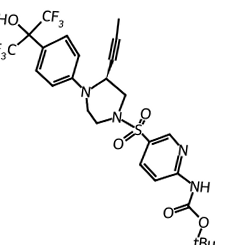 CC#C[C@H]1CN(S(=O)(=O)c2ccc(NC(=O)OC(C)(C)C)nc2)CCN1c1ccc(C(O)(C(F)(F)F)C(F)(F)F)cc1